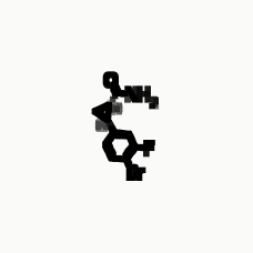 NC(=O)[C@H]1C[C@@H]1c1ccc(Br)c(F)c1